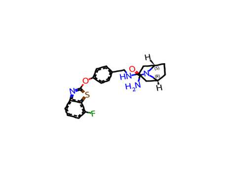 NC(=O)N1[C@@H]2CC[C@H]1CC(NCc1ccc(Oc3nc4cccc(F)c4s3)cc1)C2